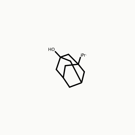 C[C](C)C12CC3CC(CC(O)(C3)C1)C2